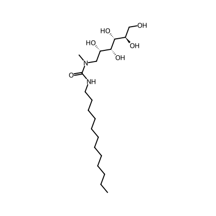 CCCCCCCCCCCCNC(=O)N(C)C[C@H](O)[C@@H](O)[C@H](O)[C@H](O)CO